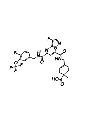 CC1(C(=O)O)CC=C(CNC(=O)c2cc(C(=O)NCc3ccc(F)c(OC(F)(F)F)c3)nc3c(F)cnn23)CC1